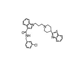 O=C(NCc1cccc(Cl)c1)c1cn(CCCN2CCC(c3nc4ccccc4s3)CC2)c2ccccc12